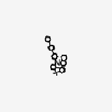 CC1(C)c2ccccc2-c2c(N(c3ccc(-c4ccc(-c5ccccc5)cc4)cc3)c3cccc4ccccc34)cccc21